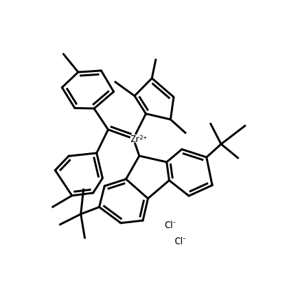 CC1=CC(C)[C]([Zr+2](=[C](c2ccc(C)cc2)c2ccc(C)cc2)[CH]2c3cc(C(C)(C)C)ccc3-c3ccc(C(C)(C)C)cc32)=C1C.[Cl-].[Cl-]